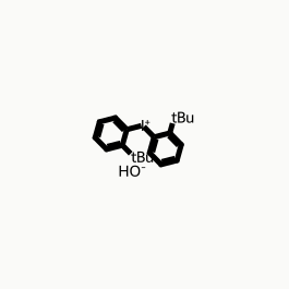 CC(C)(C)c1ccccc1[I+]c1ccccc1C(C)(C)C.[OH-]